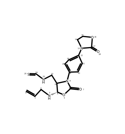 C=CCN[C@H]1OC(=O)N(c2ccc(N3CCOC3=O)cc2)C1CNC=S